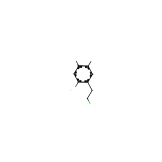 Cc1cc(CCCl)c(C(=O)O)cc1C(=O)O